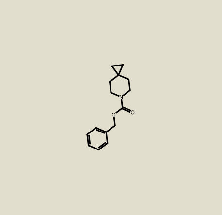 O=C(OCc1ccccc1)N1CCC2(CC1)CC2